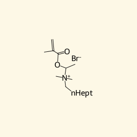 C=C(C)C(=O)OC(C)[N+](C)(C)CCCCCCCC.[Br-]